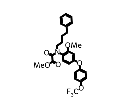 COC(=O)C(=O)N(CCCCc1ccccc1)c1ccc(Oc2ccc(OC(F)(F)F)cc2)cc1OC